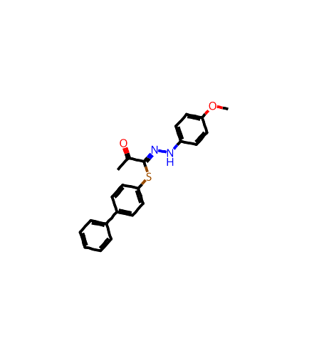 COc1ccc(NN=C(Sc2ccc(-c3ccccc3)cc2)C(C)=O)cc1